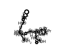 CC[C@H](C)[C@@H]([C@@H](CC(=O)N1C[C@H](ONC(=O)OCc2ccc(NC(=O)[C@@H](CCCNC(N)=O)NC(=O)[C@H](NC(=O)CCOCCCNC(=O)c3ccc4nc5c(nc4c3)CSc3cccccccc(c3)SC5)C(C)C)cc2)C[C@H]1[C@H](OC)[C@@H](C)C(=O)N[C@H](/C=C/C(=O)NO)Cc1ccccc1)OC)N(C)C(=O)[C@@H](NC(=O)[C@H](C(C)C)N(C)C)C(C)C